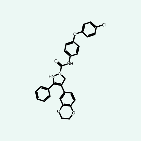 O=C(Nc1ccc(Oc2ccc(Cl)cc2)cc1)N1CC(c2ccc3c(c2)OCCO3)=C(c2ccccc2)N1